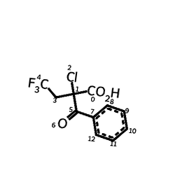 O=C(O)C(Cl)(CC(F)(F)F)C(=O)c1ccccc1